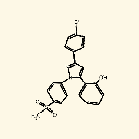 CS(=O)(=O)c1ccc(-n2nc(-c3ccc(Cl)cc3)cc2-c2ccccc2O)cc1